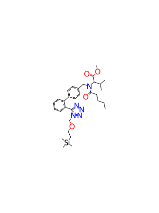 CCCCC(=O)N(Cc1ccc(-c2ccccc2-c2nnnn2COCC[Si](C)(C)C)cc1)C(C(=O)OC)C(C)C